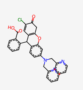 O=C1CC2=C(C=C1Cl)C(c1ccccc1C(=O)O)c1ccc(N(Cc3ccccn3)Cc3ccccn3)cc1O2